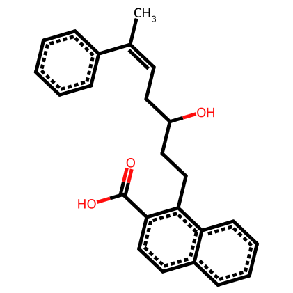 CC(=CCC(O)CCc1c(C(=O)O)ccc2ccccc12)c1ccccc1